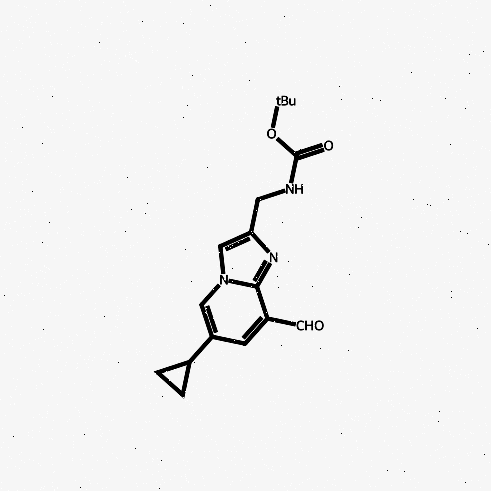 CC(C)(C)OC(=O)NCc1cn2cc(C3CC3)cc(C=O)c2n1